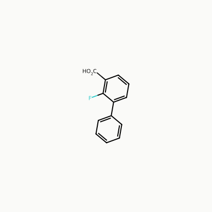 O=C(O)c1cccc(-c2ccccc2)c1F